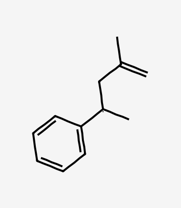 C=C(C)C[C](C)c1ccccc1